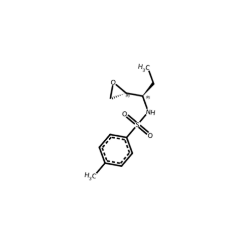 CC[C@@H](NS(=O)(=O)c1ccc(C)cc1)[C@@H]1CO1